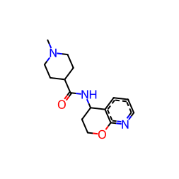 CN1CCC(C(=O)NC2CCOc3ncccc32)CC1